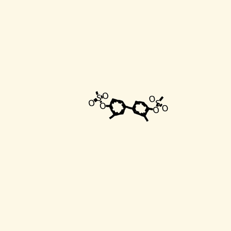 Cc1cc(-c2ccc(OS(C)(=O)=O)c(C)c2)ccc1OS(C)(=O)=O